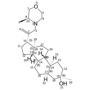 C=C(CN1CCOC[C@@H]1C)[C@H]1CC[C@H]2[C@@H]3CC[C@@H]4C[C@](C)(O)CC[C@@H]4[C@H]3CC[C@]12C